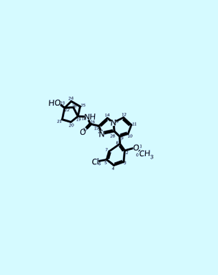 COc1ccc(Cl)cc1-c1cccn2cc(C(=O)NC34CCC(O)(CC3)C4)nc12